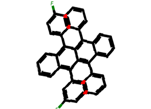 Fc1ccc(-c2c3ccccc3c(-c3cccc(F)c3)c3c(-c4ccccc4)c4ccccc4c(-c4ccccc4)c23)cc1